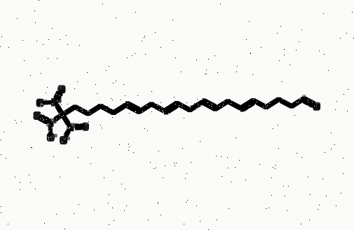 O=[C]CCCC=CCC=CCC=CCC=CCCCCC([N+](=O)[O-])([N+](=O)[O-])[N+](=O)[O-]